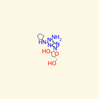 Nc1nc(NC2CCCC2)nc2c1ncn2[C@@H]1O[C@H](CO)C[C@H]1O